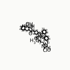 CCCCc1nc(Cl)c(C=O)n1Cc1ccc(-c2ccccc2S(=O)(=O)NC(=O)[C@H]2CC[C@@H](NC(=O)C(Cc3ccccc3)C(=O)NO)C2)cc1